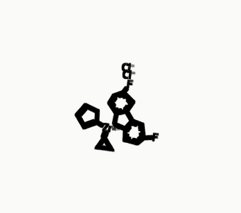 Fc1ccc2c(c1)-c1cc(F)ccc1[CH]2[Zr+2]([C]1=CC=CC1)=[C]1CC1.[Cl-].[Cl-]